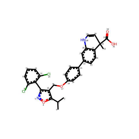 CC(C)c1onc(-c2c(Cl)cccc2Cl)c1COc1ccc(-c2ccc3c(c2)NC=CC3(C)C(=O)O)cc1